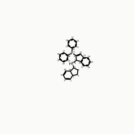 C1=CC2CC[CH]([Hf][CH]3C(P(c4ccccc4)c4ccccc4)=Cc4ccccc43)C2C=C1